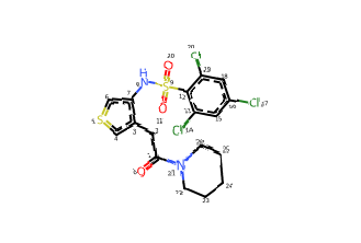 O=C(Cc1cscc1NS(=O)(=O)c1c(Cl)cc(Cl)cc1Cl)N1CCCCC1